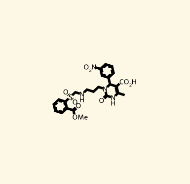 COC(=O)c1ccccc1S(=O)(=O)CNCCCN1C(=O)NC(C)=C(C(=O)O)C1c1cccc([N+](=O)[O-])c1